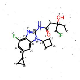 CCC(O)(CF)CC(=O)Nc1nc2c(F)cc(C3CC3)cc2n1C1CCC1